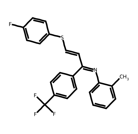 Cc1ccccc1/N=C(/C=C/Sc1ccc(F)cc1)c1ccc(C(F)(F)F)cc1